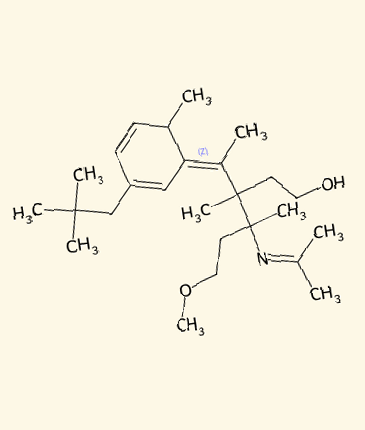 COCCC(C)(N=C(C)C)C(C)(CCO)/C(C)=C1\C=C(CC(C)(C)C)C=CC1C